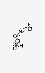 O=c1[nH]c2ccc([S+]([O-])CCN3CCC(Cc4ccccc4F)CC3)cc2o1